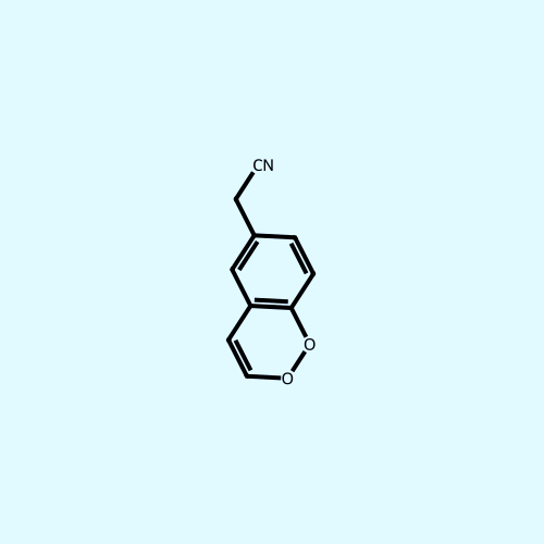 N#CCc1ccc2c(c1)C=COO2